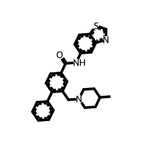 CC1CCN(Cc2cc(C(=O)Nc3ccc4scnc4c3)ccc2-c2ccccc2)CC1